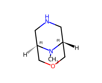 CN1[C@@H]2CNC[C@@H]1COC2